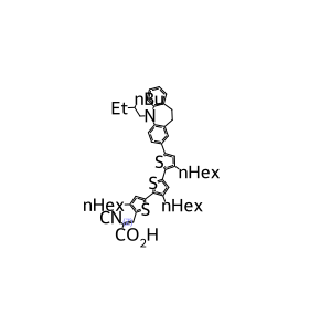 [C-]#[N+]/C(=C\c1sc(-c2sc(-c3sc(-c4ccc5c(c4)CCc4ccccc4N5CC(CC)CCCC)cc3CCCCCC)cc2CCCCCC)cc1CCCCCC)C(=O)O